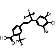 O=C(O)c1ccc(/C=C/C(c2cc(Br)c(Cl)c(Br)c2)C(F)(F)F)cc1C(F)(F)F